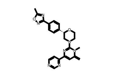 C=C1C=C(c2ccncn2)N=C(N2CCO[C@@H](c3ccc(-c4noc(C)n4)cc3)C2)N1C